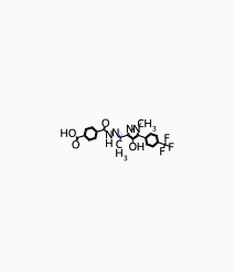 C/C(=N\NC(=O)c1ccc(C(=O)O)cc1)c1nn(C)c(-c2ccc(C(F)(F)F)cc2)c1O